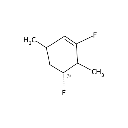 CC1C=C(F)C(C)[C@H](F)C1